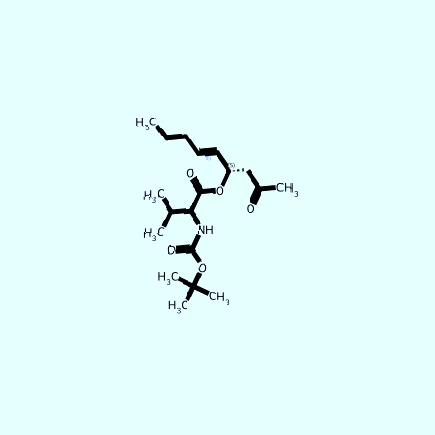 CCC/C=C/[C@H](CC(C)=O)OC(=O)C(NC(=O)OC(C)(C)C)C(C)C